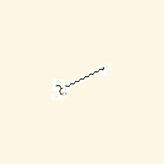 O=C(O)CCCCCCCCCCCCCCC(=O)NC(CC(=O)O)CC(=O)O